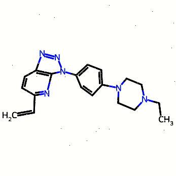 C=Cc1ccc2nnn(-c3ccc(N4CCN(CC)CC4)cc3)c2n1